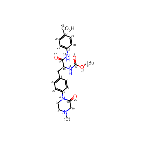 CCN1CCN(c2ccc(C[C@H](NC(=O)OC(C)(C)C)C(=O)Nc3ccc(C(=O)O)cc3)cc2)C(=O)C1